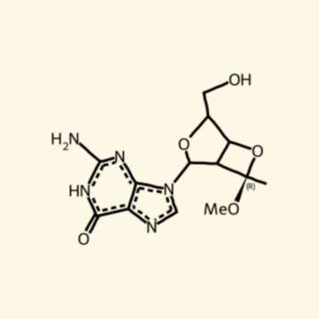 CO[C@]1(C)OC2C(CO)OC(n3cnc4c(=O)[nH]c(N)nc43)C21